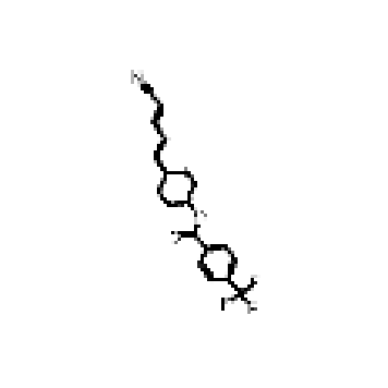 N#CC=CC=CC1CCC(OC(=O)c2ccc(C(F)(F)F)cc2)CC1